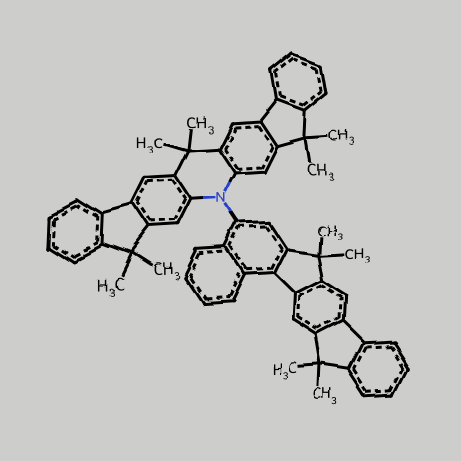 CC1(C)c2ccccc2-c2cc3c(cc21)-c1c(cc(N2c4cc5c(cc4C(C)(C)c4cc6c(cc42)C(C)(C)c2ccccc2-6)-c2ccccc2C5(C)C)c2ccccc12)C3(C)C